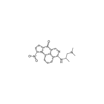 CC(CN(C)C)Nc1ncc2c(=O)c3ccc([N+](=O)[O-])n3c3cccc1c23